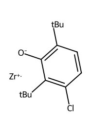 CC(C)(C)c1ccc(Cl)c(C(C)(C)C)c1[O-].[Zr+]